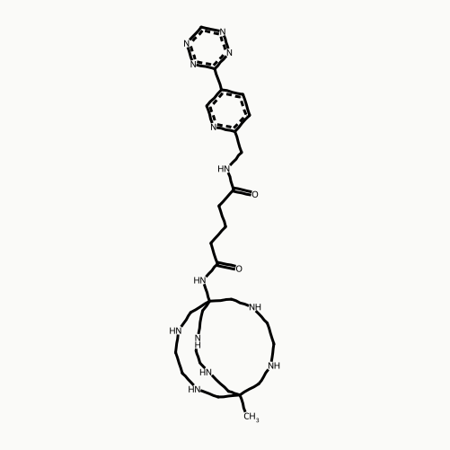 CC12CNCCNCC(NC(=O)CCCC(=O)NCc3ccc(-c4nncnn4)cn3)(CNCCNC1)CNCCNC2